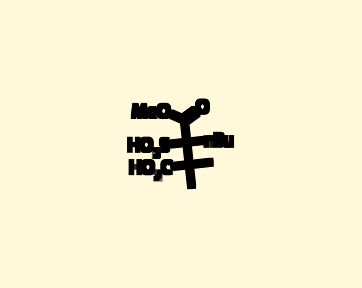 CCCCC(C(=O)OC)(C(C)(C)C(=O)O)S(=O)(=O)O